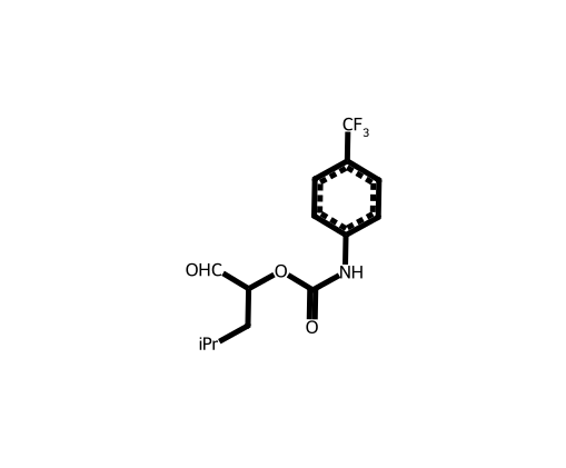 CC(C)CC(C=O)OC(=O)Nc1ccc(C(F)(F)F)cc1